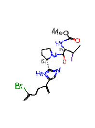 C=C(Br)CCC(=C)c1cnc([C@@H]2CCCN2C(=O)[C@@H](NC(=O)OC)C(C)I)[nH]1